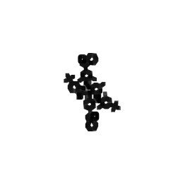 Cc1cc2c3c(c1)N(c1c(C)cc(-c4coc5ccccc45)cc1C)c1c(sc4ccc(C(C)(C)C)cc14)B3c1ccc(-c3cc4ccccc4o3)cc1N2c1c(C)cc(C(C)(C)C)cc1C